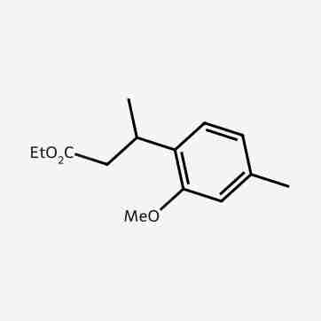 CCOC(=O)CC(C)c1ccc(C)cc1OC